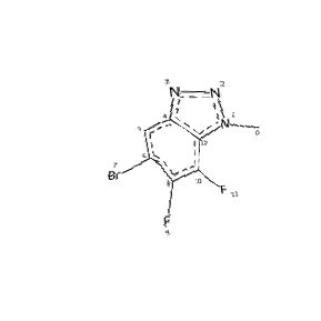 Cn1nnc2cc(Br)c(F)c(F)c21